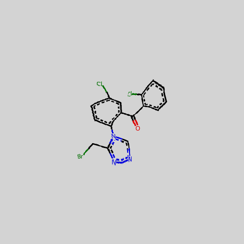 O=C(c1ccccc1Cl)c1cc(Cl)ccc1-n1cnnc1CBr